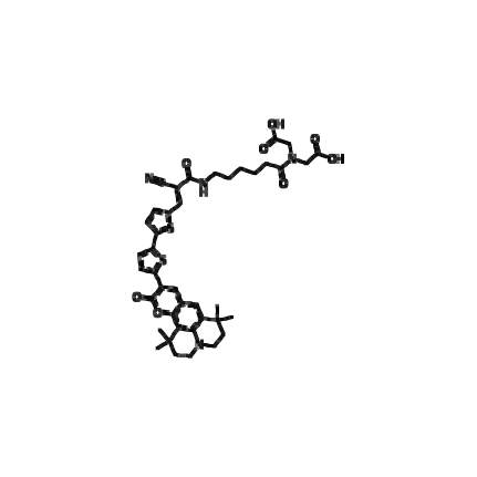 CC1(C)CCN2CCC(C)(C)c3c2c1cc1cc(-c2ccc(-c4ccc(/C=C(\C#N)C(=O)NCCCCCC(=O)N(CC(=O)O)CC(=O)O)s4)s2)c(=O)oc31